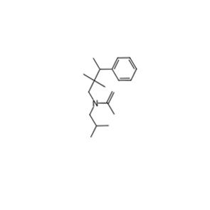 C=C(C)N(CC(C)C)CC(C)(C)C(C)c1ccccc1